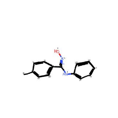 Cc1ccc(/C(=N\O)Nc2ccccc2)cc1